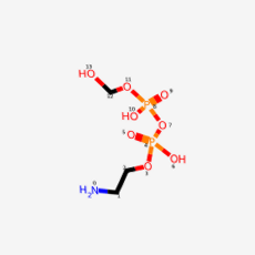 NCCOP(=O)(O)OP(=O)(O)OCO